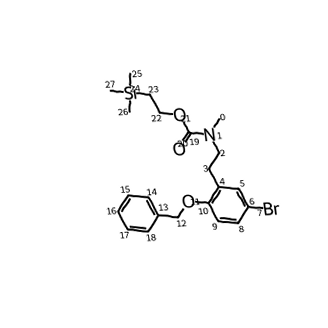 CN(CCc1cc(Br)ccc1OCc1ccccc1)C(=O)OCC[Si](C)(C)C